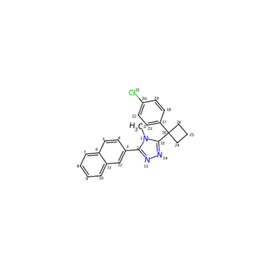 Cn1c(-c2ccc3ccccc3c2)nnc1C1(c2ccc(Cl)cc2)CCC1